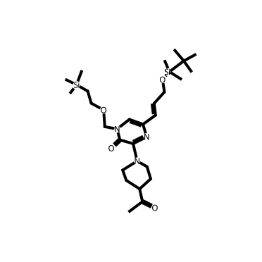 CC(=O)C1CCN(c2nc(/C=C/CO[Si](C)(C)C(C)(C)C)cn(COCC[Si](C)(C)C)c2=O)CC1